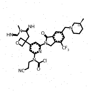 C[C@H]1CCCN(Cc2cc3c(c(C(F)(F)F)c2)CN(c2cc(C4(CC(=N)N(C)C=N)COC4)cc(N(CCC#N)C(=O)Cl)n2)C3=O)C1